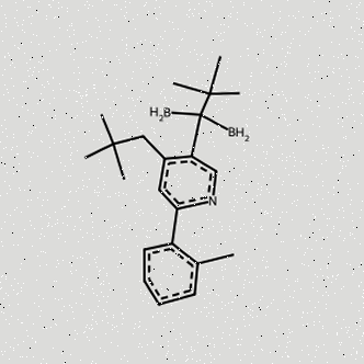 BC(B)(c1cnc(-c2ccccc2C)cc1CC(C)(C)C)C(C)(C)C